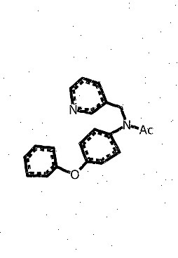 CC(=O)N(Cc1cccnc1)c1ccc(Oc2ccccc2)cc1